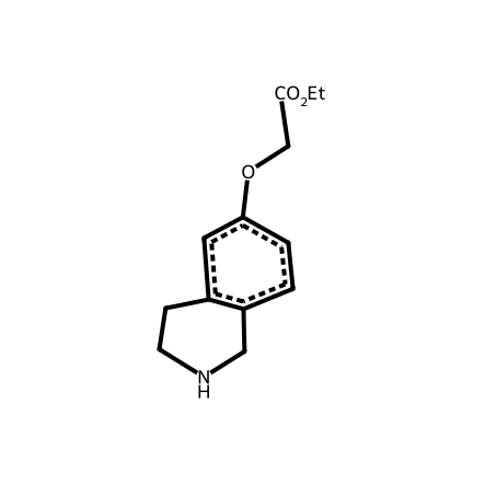 CCOC(=O)COc1ccc2c(c1)CCNC2